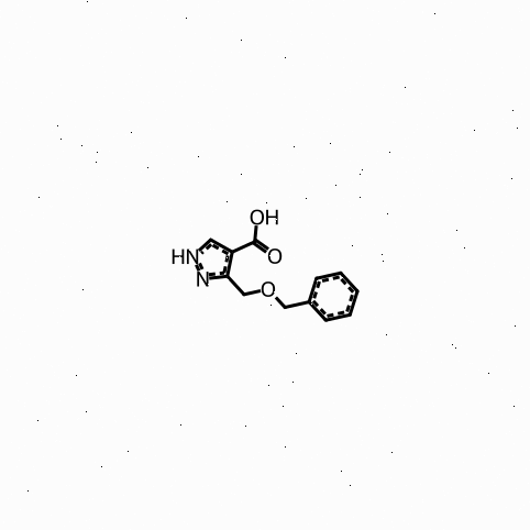 O=C(O)c1c[nH]nc1COCc1ccccc1